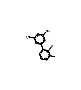 O=[N+]([O-])c1cc(-c2cccc(F)c2F)cc([N+](=O)[O-])c1